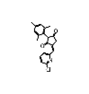 Cc1cc(C)c(C2C(=O)CC(=Cc3cccc(Cl)n3)C2=O)c(C)c1